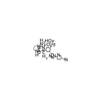 C[C@@]1(c2cc(-c3cn(-c4ccc(C#N)cn4)nn3)ccc2F)C[SH]2(=O)NCCCCN2C(N)=N1.O=C(O)C(F)(F)F